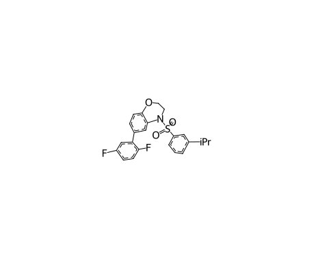 CC(C)c1cccc(S(=O)(=O)N2CCOc3ccc(-c4cc(F)ccc4F)cc32)c1